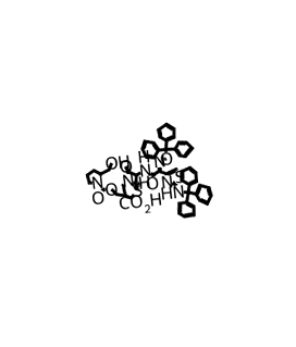 O=C(NC1C(=O)N2CC(COC(=O)N3CCCC3CO)(C(=O)O)CS[C@H]12)C(=NOC(c1ccccc1)(c1ccccc1)c1ccccc1)c1csc(NC(c2ccccc2)(c2ccccc2)c2ccccc2)n1